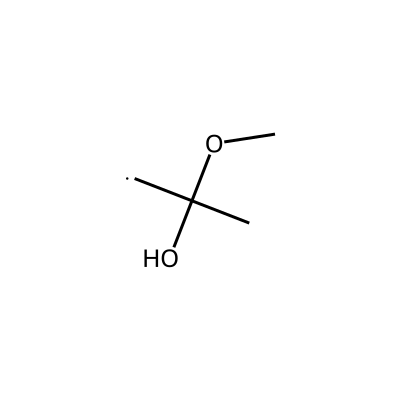 [CH2]C(C)(O)OC